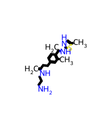 C=C(CCc1ccc(C(=C)NC2NC=C(C)S2)c(C)c1)NCCCN